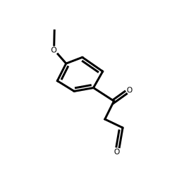 COc1ccc(C(=O)CC=O)cc1